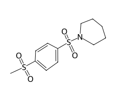 CS(=O)(=O)c1ccc(S(=O)(=O)N2CCCCC2)cc1